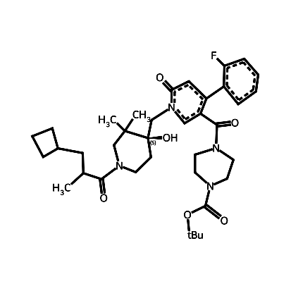 CC(CC1CCC1)C(=O)N1CC[C@@](O)(Cn2cc(C(=O)N3CCN(C(=O)OC(C)(C)C)CC3)c(-c3ccccc3F)cc2=O)C(C)(C)C1